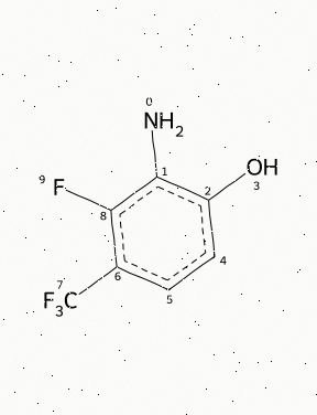 Nc1c(O)ccc(C(F)(F)F)c1F